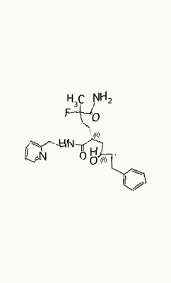 CC(F)(CC[C@H](C[C@H](O)[CH]Cc1ccccc1)C(=O)NCCc1ccccn1)C(N)=O